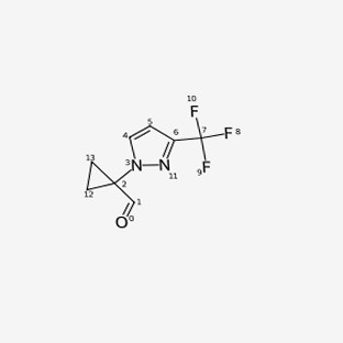 O=CC1(n2ccc(C(F)(F)F)n2)CC1